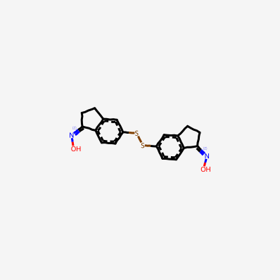 O/N=C1/CCc2cc(SSc3ccc4c(c3)CC/C4=N/O)ccc21